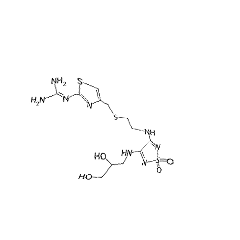 NC(N)=Nc1nc(CSCCNC2=NS(=O)(=O)N=C2NCC(O)CO)cs1